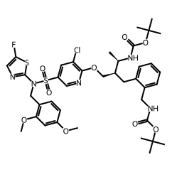 COc1ccc(CN(c2ncc(F)s2)S(=O)(=O)c2cnc(OC[C@H](Cc3ccccc3CNC(=O)OC(C)(C)C)[C@@H](C)NC(=O)OC(C)(C)C)c(Cl)c2)c(OC)c1